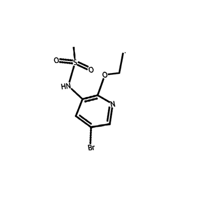 [CH2]COc1ncc(Br)cc1NS(C)(=O)=O